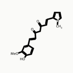 COc1cc(C=CC(=O)CC(=O)C=Cc2cccn2C)ccc1O